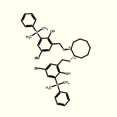 CC(C)(C)c1cc(CS[C@H]2CCCCCC[C@@H]2SCc2cc(C(C)(C)C)cc(S(C)(C)c3ccccc3)c2O)c(O)c(S(C)(C)c2ccccc2)c1